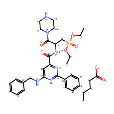 CCCCC(=O)O.CCOP(=O)(CC(NC(=O)c1cc(NCc2ccccc2)nc(-c2ccccc2)n1)C(=O)N1CCNCC1)OCC